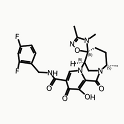 CC1=NO[C@@]2(CC[C@H](C)N3C[C@H]2n2cc(C(=O)NCc4ccc(F)cc4F)c(=O)c(O)c2C3=O)N1C